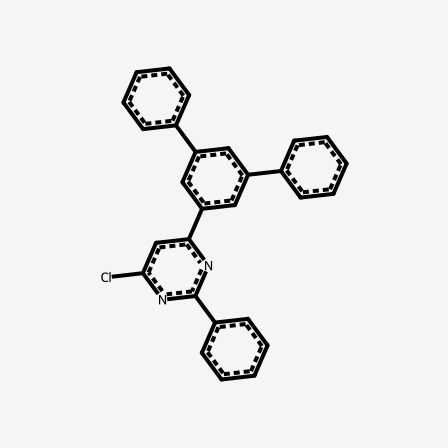 Clc1cc(-c2cc(-c3ccccc3)cc(-c3ccccc3)c2)nc(-c2ccccc2)n1